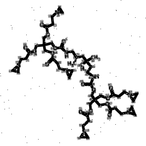 C[C@H](CNC(=O)OCC(COC(=O)CCN1CC1)(COC(=O)CCN1CC1)COC(=O)CCN1CC1)CC(C)(C)CCNC(=O)OCC(COC(=O)CCN1CC1)(COC(=O)CCN1CC1)COC(=O)CCN1CC1